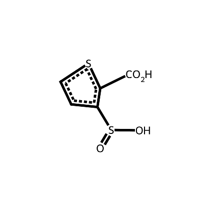 O=C(O)c1sccc1S(=O)O